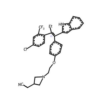 CC/C(=C(/c1ccc(OCCN2CC(CC#N)C2)cc1)c1cc2ccccc2[nH]1)c1ccc(Cl)cc1C(F)(F)F